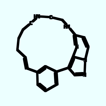 C1=C/c2cccc(c2)-c2cnn3ccc(nc23)NCCNCCCC/1